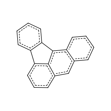 c1ccc2c(c1)-c1cccc3cc4ccccc4c-2c13